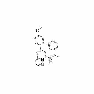 COc1ccc(-c2cc(NC(C)c3ccccc3)n3nccc3n2)cc1